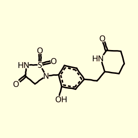 O=C1CCCC(Cc2ccc(N3CC(=O)NS3(=O)=O)c(O)c2)N1